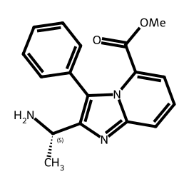 COC(=O)c1cccc2nc([C@H](C)N)c(-c3ccccc3)n12